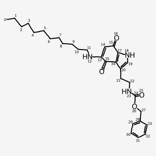 CCCCCCCCCCCCNC1=CC(=O)c2[nH]cc(CCNC(=O)OCc3ccccc3)c2C1=O